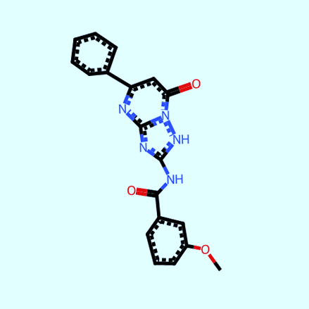 COc1cccc(C(=O)Nc2nc3nc(-c4ccccc4)cc(=O)n3[nH]2)c1